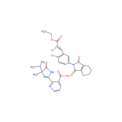 CC(C)C1(C)N=C(c2ncccc2C(=O)O)NC1=O.CCOC(=O)/C(Cl)=C/c1cc(N2C(=O)C3=C(CCCC3)C2=O)ccc1Cl